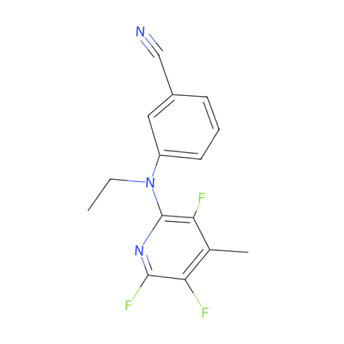 CCN(c1cccc(C#N)c1)c1nc(F)c(F)c(C)c1F